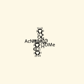 COC(=O)N/C(=N/C(=O)Cc1ccccc1)Nc1ccc(Oc2ccccc2)cc1NC(C)=O